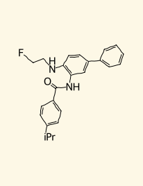 CC(C)c1ccc(C(=O)Nc2cc(-c3ccccc3)ccc2NCCF)cc1